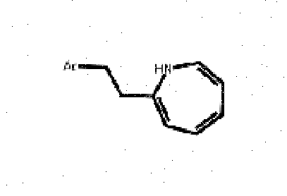 CC(=O)CCC1=CC=CC=CN1